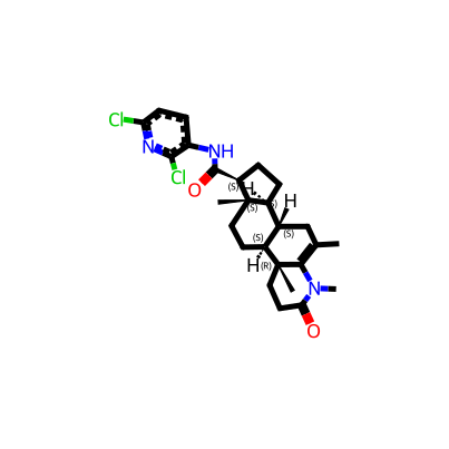 CC1=C2N(C)C(=O)CC[C@]2(C)[C@H]2CC[C@]3(C)[C@@H](C(=O)Nc4ccc(Cl)nc4Cl)CC[C@H]3[C@@H]2C1